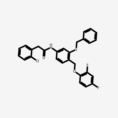 O=C(Cc1ccccc1Cl)Nc1ccc(COc2ccc(F)cc2F)c(SCc2ccccc2)c1